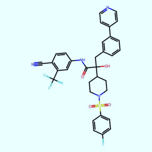 N#Cc1ccc(NC(=O)C(O)(Cc2cccc(-c3ccncc3)c2)C2CCN(S(=O)(=O)c3ccc(F)cc3)CC2)cc1C(F)(F)F